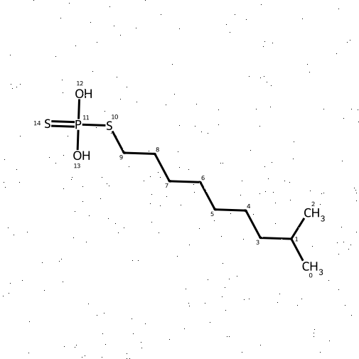 CC(C)CCCCCCCSP(O)(O)=S